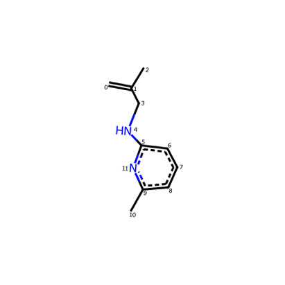 C=C(C)CNc1cccc(C)n1